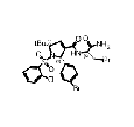 CC(C)C[C@H](NC(=O)C1=C[C@@H](C(C)(C)C)N(S(=O)(=O)c2ccccc2Cl)[C@H]1c1ccc(Br)cc1)C(N)=O